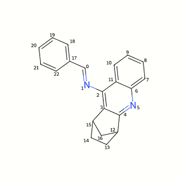 C(=Nc1c2c(nc3ccccc13)C1CCC2C1)c1ccccc1